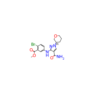 COC(=O)c1cc(Nc2nn([C@@H]3CCCOC3)cc2C(N)=O)ccc1Br